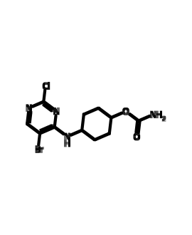 NC(=O)OC1CCC(Nc2nc(Cl)ncc2Br)CC1